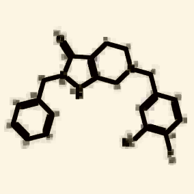 N#Cc1cc(CN2CCc3c([nH]n(Cc4ccccc4)c3=O)C2)ccc1F